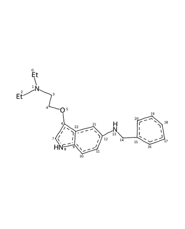 CCN(CC)CCOc1c[nH]c2ccc(NCc3ccccc3)cc12